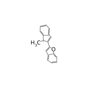 C[C]1C(c2cc3ccccc3o2)=Cc2ccccc21